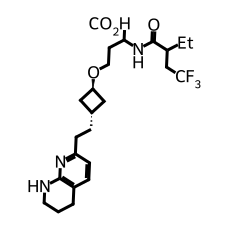 CCC(CC(F)(F)F)C(=O)NC(CCO[C@H]1C[C@H](CCc2ccc3c(n2)NCCC3)C1)C(=O)O